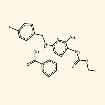 CCOC(=O)Nc1ccc(NCc2ccc(F)cc2)nc1N.O=C(O)c1ccccc1